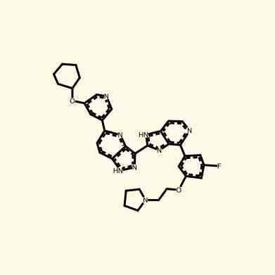 Fc1cc(OCCN2CCCC2)cc(-c2nccc3[nH]c(-c4n[nH]c5ccc(-c6cncc(OC7CCCCC7)c6)nc45)nc23)c1